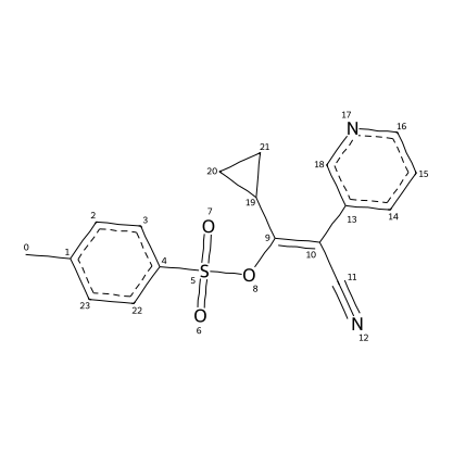 Cc1ccc(S(=O)(=O)O/C(=C(\C#N)c2cccnc2)C2CC2)cc1